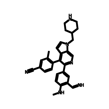 CNc1ccc(-c2ncc3c(ccn3CC3CCNCC3)c2-c2ccc(C#N)cc2C)cc1C=N